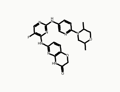 CC1CN(c2ccc(Nc3ncc(F)c(Nc4ccc5c(n4)NC(=O)CO5)n3)cn2)C(C)CO1